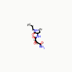 CC(C)CCNC(=O)C(CC(C)C)NC(=O)C1OC1C(N)=O